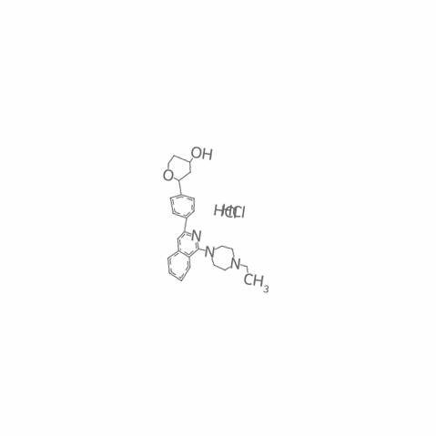 CCN1CCN(c2nc(-c3ccc(C4CC(O)CCO4)cc3)cc3ccccc23)CC1.Cl.Cl